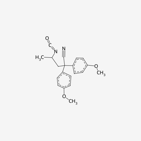 COc1ccc(C(C#N)(CC(C)N=C=O)c2ccc(OC)cc2)cc1